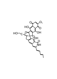 C/C=C/C=C/c1cc2cc3c(c(O)c2c(=O)[nH]1)[C@@]1(C(=O)c2c(O)c4c(c(O)c2C1=O)C(=O)C(OC)=CC4=O)C(SCCO)C3